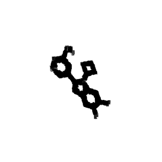 Cc1cc(-c2cc3cc(F)c(F)cc3n2C2CCC2)cnn1